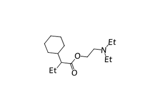 CCC(C(=O)OCCN(CC)CC)C1CCCCC1